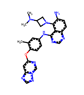 Cc1cc(Nc2ncnc3ccc(N)c(N4CC(N(C)C)C4)c23)ccc1Oc1cc2ncnn2cn1